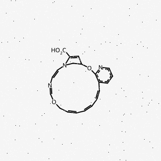 O=C(O)C1=CC2CN1/C=C\N=C/OC\C=C/C=C\C=C/c1cccnc1O2